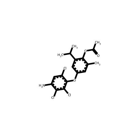 CC(=O)Oc1c(C)cc(Oc2c(Cl)cc(N)c(Cl)c2Cl)cc1C(C)C